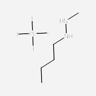 CCCCNNC.[I][Pb]([I])([I])[I]